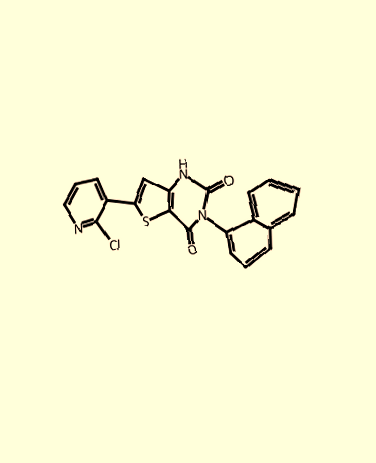 O=c1[nH]c2cc(-c3cccnc3Cl)sc2c(=O)n1-c1cccc2ccccc12